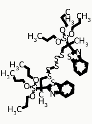 CCCO[Si](OCCC)(OCCC)C(C)(CSSSSSCC(C)(c1nc2ccccc2s1)[Si](OCCC)(OCCC)OCCC)c1nc2ccccc2s1